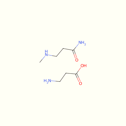 CNCCC(N)=O.NCCC(=O)O